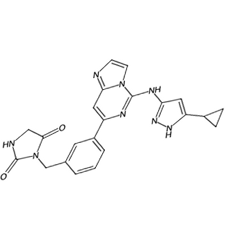 O=C1CNC(=O)N1Cc1cccc(-c2cc3nccn3c(Nc3cc(C4CC4)[nH]n3)n2)c1